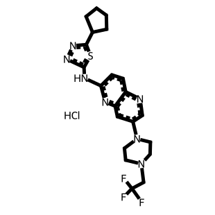 Cl.FC(F)(F)CN1CCN(c2cnc3ccc(Nc4nnc(C5CCCC5)s4)nc3c2)CC1